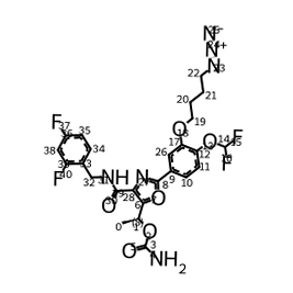 C[C@H](OC(N)=O)c1oc(-c2ccc(OC(F)F)c(OCCCCN=[N+]=[N-])c2)nc1C(=O)NCc1ccc(F)cc1F